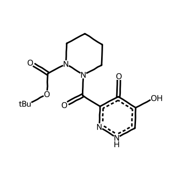 CC(C)(C)OC(=O)N1CCCCN1C(=O)c1n[nH]cc(O)c1=O